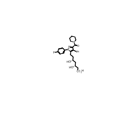 CC(C)c1c(C(=O)N2CCCCC2)nn(-c2ccc(F)cc2)c1CC[C@@H](O)C[C@@H](O)CC(=O)O